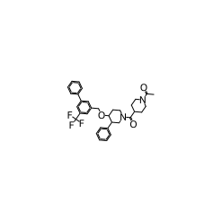 CC(=O)N1CCC(C(=O)N2CCC(OCc3cc(-c4ccccc4)cc(C(F)(F)F)c3)C(c3ccccc3)C2)CC1